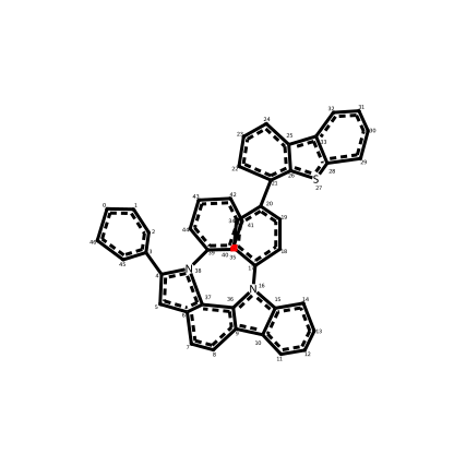 c1ccc(-c2cc3ccc4c5ccccc5n(-c5ccc(-c6cccc7c6sc6ccccc67)cc5)c4c3n2-c2ccccc2)cc1